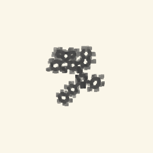 c1ccc(-c2ccc(-c3nc(-c4ccccc4)nc(-n4c5cc6c(cc5c5c7ccccc7ccc54)C4(c5ccccc5S6)c5ccccc5-c5ccccc54)n3)cc2)cc1